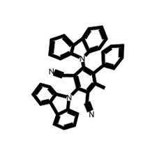 Cc1c(C#N)c(-n2c3ccccc3c3ccccc32)c(C#N)c(-n2c3ccccc3c3ccccc32)c1-c1ccccc1